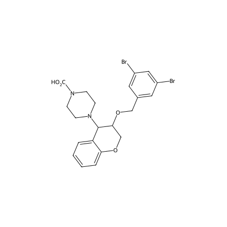 O=C(O)N1CCN(C2c3ccccc3OCC2OCc2cc(Br)cc(Br)c2)CC1